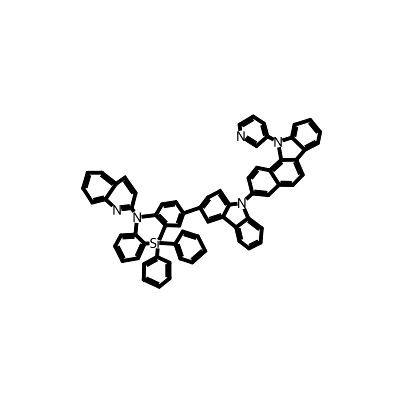 c1ccc([Si]2(c3ccccc3)c3ccccc3N(c3ccc4ccccc4n3)c3ccc(-c4ccc5c(c4)c4ccccc4n5-c4ccc5c(ccc6c7ccccc7n(-c7cccnc7)c56)c4)cc32)cc1